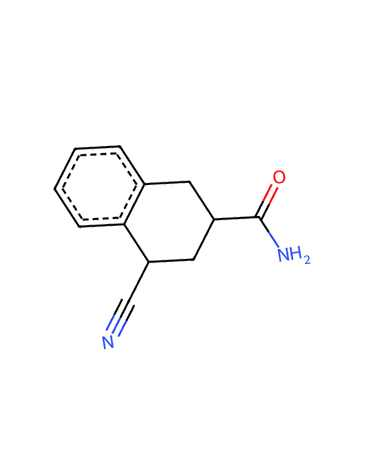 N#CC1CC(C(N)=O)Cc2ccccc21